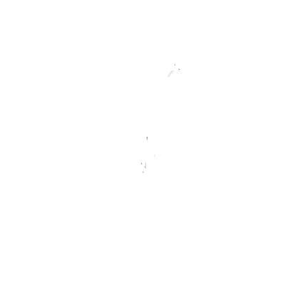 CCCCCCC/C=N/[C@H]1O[C@@H]1CCCCCCCC#N